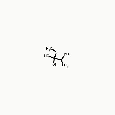 CSC(O)(O)C(C)N